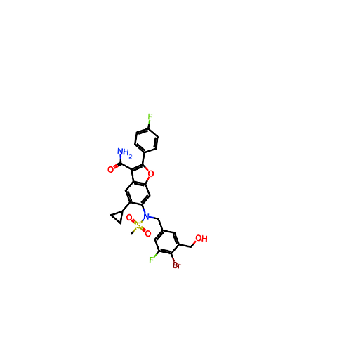 CS(=O)(=O)N(Cc1cc(F)c(Br)c(CO)c1)c1cc2oc(-c3ccc(F)cc3)c(C(N)=O)c2cc1C1CC1